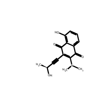 C[C@H](O)C#CC1=C(N(C)C)C(=O)c2cccc(O)c2C1=O